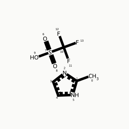 Cc1ncc[nH]1.O=S(=O)(O)C(F)(F)F